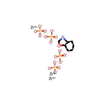 O=P([O-])([O-])[O-].O=P([O-])([O-])[O-].O=P([O-])([O-])[O-].O=P([O-])([O-])[O-].[Zr+4].[Zr+4].[Zr+4].c1ccc2ocnc2c1